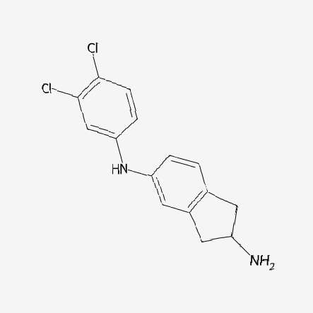 NC1Cc2ccc(Nc3ccc(Cl)c(Cl)c3)cc2C1